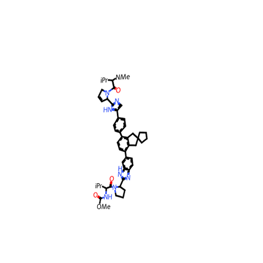 CNC(C(=O)N1CC=CC1c1ncc(-c2ccc(-c3ccc(-c4ccc5nc(C6CCCN6C(=O)C(NC(=O)OC)C(C)C)[nH]c5c4)c4c3CC3(CCCC3)C4)cc2)[nH]1)C(C)C